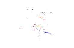 [N-]=[N+]=NS(=O)(=O)OC([C@](OS(=O)(=O)N=[N+]=[N-])([C@](O)(CC1CO1)[C@H](O)[C@H](O)CO)S(=O)(=O)N=[N+]=[N-])(S(=O)(=O)N=[N+]=[N-])S(=O)(=O)N=[N+]=[N-]